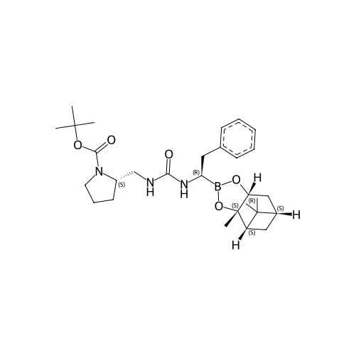 CC(C)(C)OC(=O)N1CCC[C@H]1CNC(=O)N[C@@H](Cc1ccccc1)B1O[C@@H]2C[C@@H]3C[C@@H](C3(C)C)[C@]2(C)O1